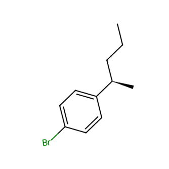 CCC[C@@H](C)c1ccc(Br)cc1